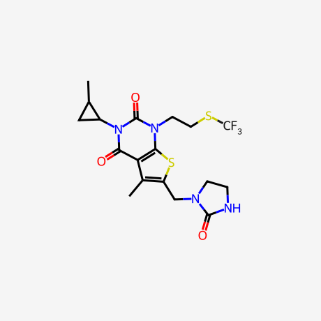 Cc1c(CN2CCNC2=O)sc2c1c(=O)n(C1CC1C)c(=O)n2CCSC(F)(F)F